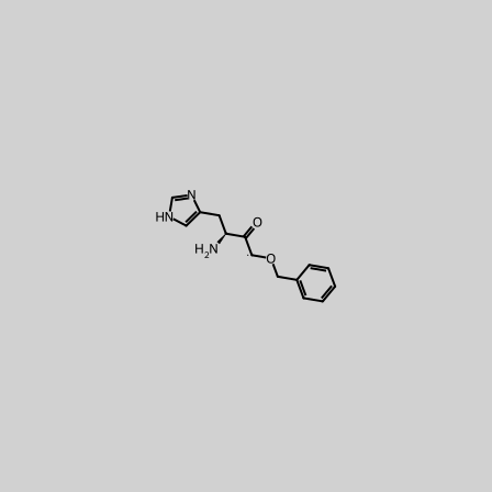 N[C@@H](Cc1c[nH]cn1)C(=O)[CH]OCc1ccccc1